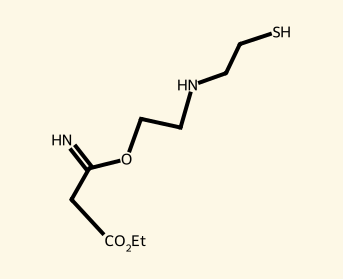 CCOC(=O)CC(=N)OCCNCCS